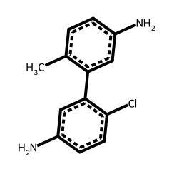 Cc1ccc(N)cc1-c1cc(N)ccc1Cl